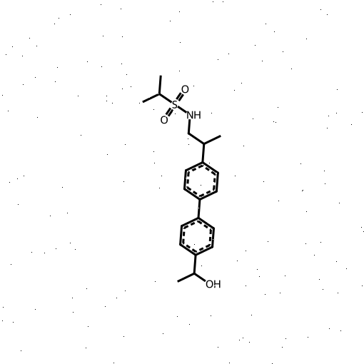 CC(O)c1ccc(-c2ccc(C(C)CNS(=O)(=O)C(C)C)cc2)cc1